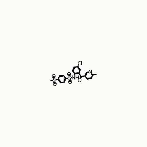 Cc1ccc(C(=O)c2cc(Cl)ccc2NS(=O)(=O)c2ccc(S(C)(=O)=O)cc2)cn1